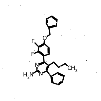 CCCCc1c(-c2ccccc2)nc(N)nc1-c1ccc(OCc2ccccc2)c(F)c1F